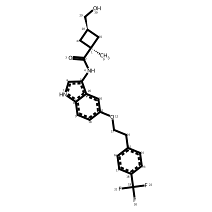 C[C@]1(C(=O)Nc2c[nH]c3ccc(OCCc4ccc(C(F)(F)F)cc4)cc23)C[C@@H](CO)C1